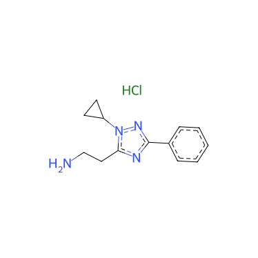 Cl.NCCc1nc(-c2ccccc2)nn1C1CC1